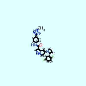 Cn1nnc(C2CCC(NC(=O)c3cnn4ccc(N5CCC[C@@H]5c5cc(F)ccc5F)cc34)CC2)n1